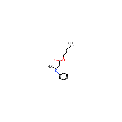 CCCCCOC(=O)CC(C)=Nc1ccccc1